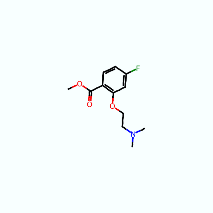 COC(=O)c1ccc(F)cc1OCCN(C)C